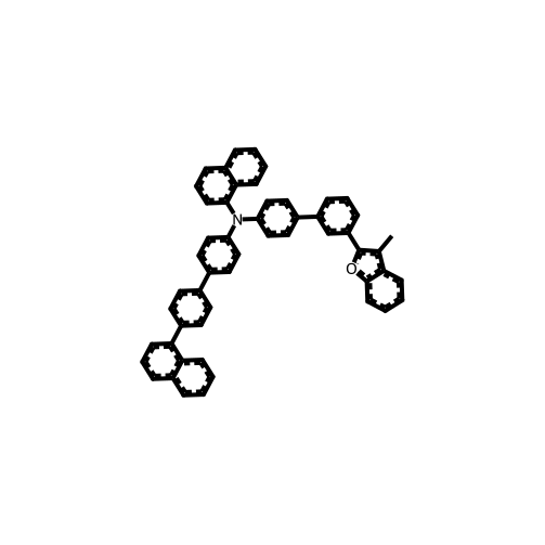 Cc1c(-c2cccc(-c3ccc(N(c4ccc(-c5ccc(-c6cccc7ccccc67)cc5)cc4)c4cccc5ccccc45)cc3)c2)oc2ccccc12